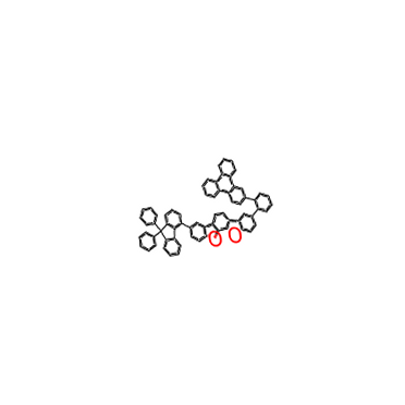 c1ccc(C2(c3ccccc3)c3ccccc3-c3c(-c4ccc5oc6c(ccc7c8cc(-c9ccccc9-c9ccc%10c%11ccccc%11c%11ccccc%11c%10c9)ccc8oc76)c5c4)cccc32)cc1